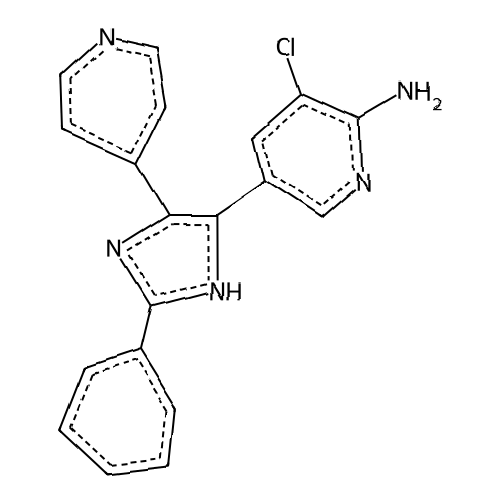 Nc1ncc(-c2[nH]c(-c3ccccc3)nc2-c2ccncc2)cc1Cl